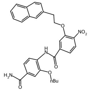 CCCCOc1cc(C(N)=O)ccc1NC(=O)c1ccc([N+](=O)[O-])c(OCCc2ccc3ccccc3c2)c1